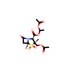 CC(=O)OC[C@@]1(C)[C@H](C(=O)OC(C)OC(C)=O)N2C(=O)C[C@H]2S1(=O)=O